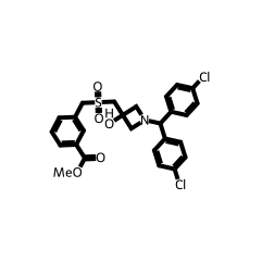 COC(=O)c1cccc(CS(=O)(=O)CC2(O)CN(C(c3ccc(Cl)cc3)c3ccc(Cl)cc3)C2)c1